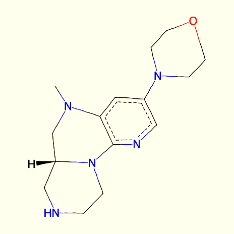 CN1C[C@H]2CNCCN2c2ncc(N3CCOCC3)cc21